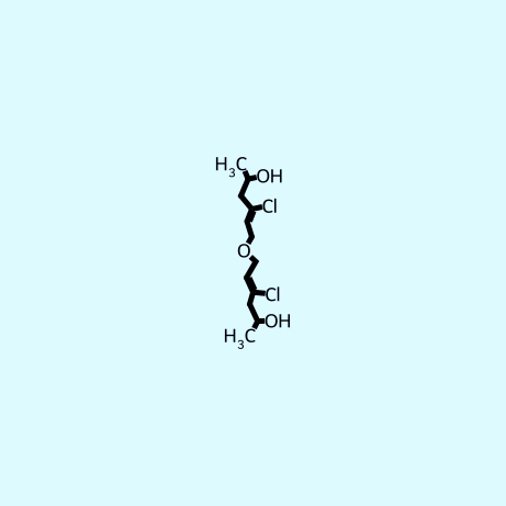 CC(O)CC(Cl)=CCOCC=C(Cl)CC(C)O